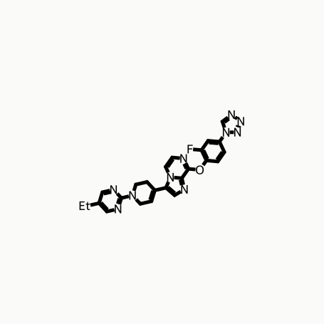 CCc1cnc(N2CC=C(c3cnc4c(Oc5ccc(-n6cnnn6)cc5F)nccn34)CC2)nc1